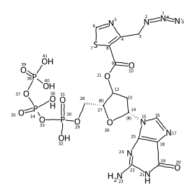 [N-]=[N+]=NCc1ncsc1C(=O)OC1C[C@H](n2cnc3c(=O)[nH]c(N)nc32)O[C@@H]1COP(=O)(O)OP(=O)(O)OP(=O)(O)O